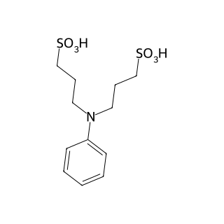 O=S(=O)(O)CCCN(CCCS(=O)(=O)O)c1ccccc1